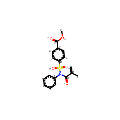 C=C(C)C(=O)N(c1ccccc1)S(=O)(=O)c1ccc(C(=O)OC)cc1